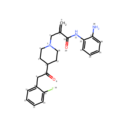 C=C(CN1CCC(C(=O)Cc2ccccc2F)CC1)C(=O)Nc1ccccc1N